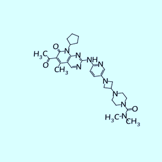 CC(=O)c1c(C)c2cnc(Nc3ccc(N4CC(N5CCN(C(=O)N(C)C)CC5)C4)cn3)nc2n(C2CCCC2)c1=O